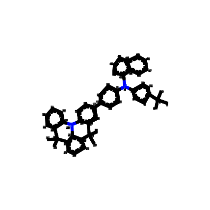 CC(C)(C)c1ccc(N(c2ccc(-c3ccc4c(c3)C(C)(C)c3cccc5c3N4c3ccccc3C5(C)C)cc2)c2cccc3ccccc23)cc1